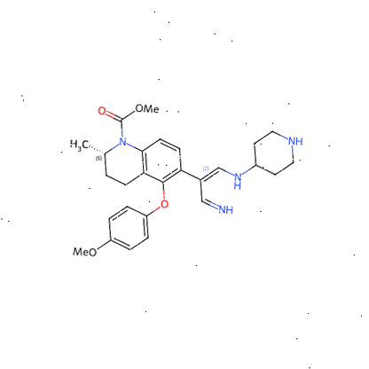 COC(=O)N1c2ccc(/C(C=N)=C/NC3CCNCC3)c(Oc3ccc(OC)cc3)c2CC[C@@H]1C